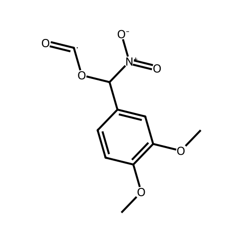 COc1ccc(C(O[C]=O)[N+](=O)[O-])cc1OC